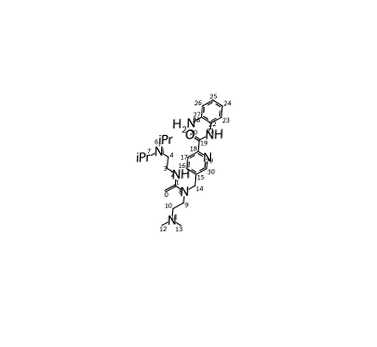 C=C(NCCN(C(C)C)C(C)C)N(CCN(C)C)Cc1ccc(C(=O)Nc2ccccc2N)nc1